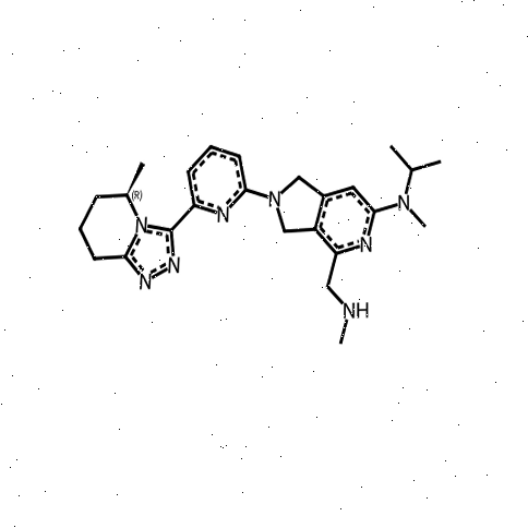 CNCc1nc(N(C)C(C)C)cc2c1CN(c1cccc(-c3nnc4n3[C@H](C)CCC4)n1)C2